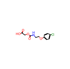 O=C(O)COC(=O)NCCOc1ccc(Cl)cc1